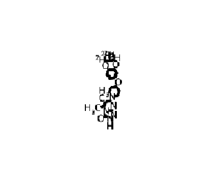 [2H]C1([2H])Oc2ccc(OC3CCN(c4nc5n[nH]c(=O)n5c(C)c4C)CC3)cc2OC1([2H])[2H]